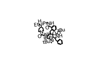 CCNC1CCN(C(=O)C(NC(=O)C(Cc2ccccc2C(=O)NC(C)C)CC(O[Si](C)(C)C(C)(C)C)C(Cc2ccccc2)NC(=O)OC(C)(C)C)C(C)CC)CC1